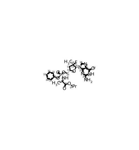 CC(C)OC(=O)[C@@H](C)N[P@](=O)(OC[C@@H]1C[C@@](C)(F)[C@H](n2cnc3c(=O)[nH]c(N)nc32)O1)Oc1ccccc1